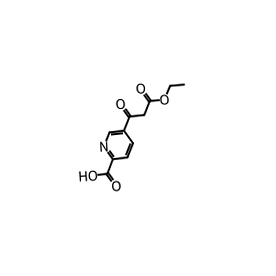 CCOC(=O)CC(=O)c1ccc(C(=O)O)nc1